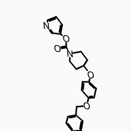 O=C(Oc1cccnc1)N1CCC(Oc2ccc(OCc3ccccc3)cc2)CC1